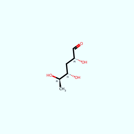 C[C@@H](O)[C@@H](O)C[C@@H](O)C=O